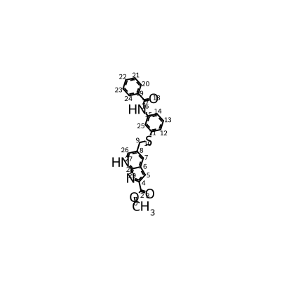 COC(=O)c1cc2cc(CSc3cccc(NC(=O)c4ccccc4)c3)c[nH]c-2n1